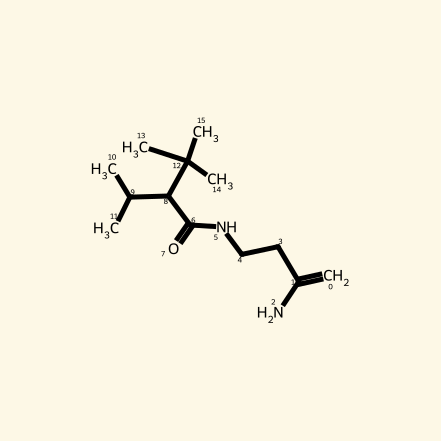 C=C(N)CCNC(=O)C(C(C)C)C(C)(C)C